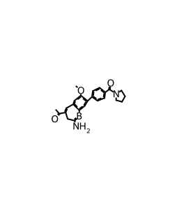 COc1cc2c(cc1-c1ccc(C(=O)N3CCCC3)cc1)B=C(N)CC(C(C)=O)=C2